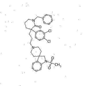 CS(=O)(=O)N1CC2(CCN(CCCC3(c4ccc(Cl)c(Cl)c4)CCCN(Cc4ccccc4)C3=O)CC2)c2ccccc21